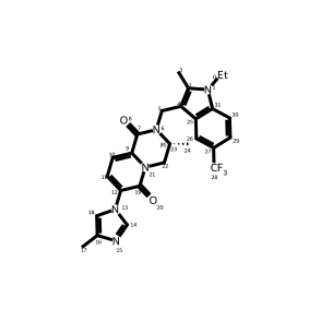 CCn1c(C)c(CN2C(=O)c3ccc(-n4cnc(C)c4)c(=O)n3C[C@H]2C)c2cc(C(F)(F)F)ccc21